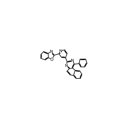 c1ccc(-c2nc(-c3ccnc(-c4nc5ccccc5o4)c3)nc3ccc4ccccc4c23)cc1